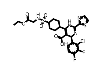 CCOC(=O)CNS(=O)(=O)C1CCC(C2=C(C(=O)O)C(c3ccc(F)c(F)c3Cl)N=C(c3nccs3)N2)CC1